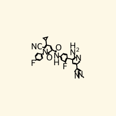 Cn1cc(-c2cnc(N)c(-c3ccc(NC(=O)c4cc(C5CC5)c(C#N)n(-c5ccc(F)cc5)c4=O)cc3F)c2)cn1